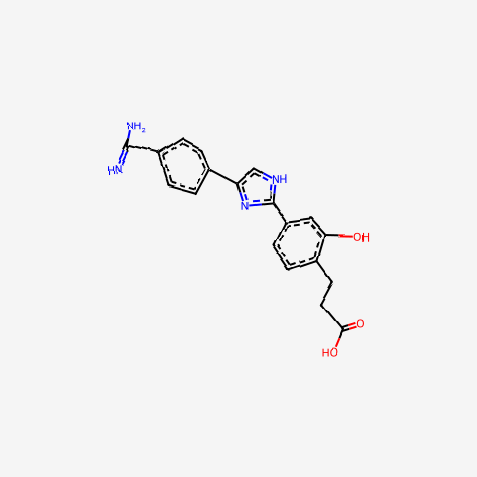 N=C(N)c1ccc(-c2c[nH]c(-c3ccc(CCC(=O)O)c(O)c3)n2)cc1